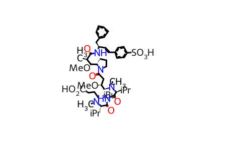 CC[C@H](C)[C@@H]([C@@H](CC(=O)N1CCC[C@H]1[C@H](OC)[C@@H](C)C(=O)N[C@H](/C=C/c1ccc(S(=O)(=O)O)cc1)Cc1ccccc1)OC)N(C)[C@H](C(=O)NC(=O)[C@H](C(C)C)N(C)CCCC(=O)O)C(C)C